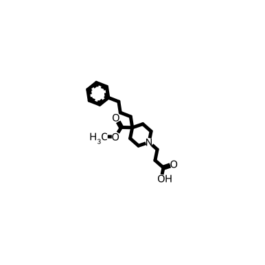 COC(=O)C1(CCCc2ccccc2)CCN(CCC(=O)O)CC1